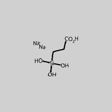 O=C(O)CC[Si](O)(O)O.[Na].[Na]